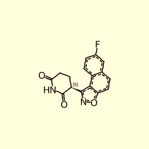 O=C1CC[C@@H](c2noc3ccc4cc(F)ccc4c23)C(=O)N1